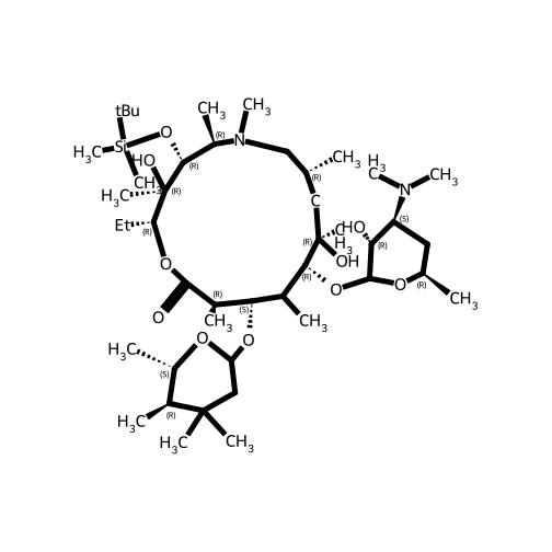 CC[C@H]1OC(=O)[C@H](C)[C@@H](OC2CC(C)(C)[C@@H](C)[C@H](C)O2)C(C)[C@@H](OC2O[C@H](C)C[C@H](N(C)C)[C@H]2O)[C@](C)(O)C[C@@H](C)CN(C)[C@H](C)[C@@H](O[Si](C)(C)C(C)(C)C)[C@]1(C)O